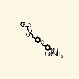 N=C(N)Nc1ccc(COc2ccc(CCC(=O)OCC(=O)N3CCCC3)cc2)cc1